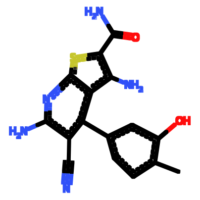 Cc1ccc(-c2c(C#N)c(N)nc3sc(C(N)=O)c(N)c23)cc1O